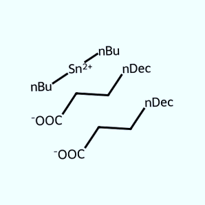 CCCCCCCCCCCCC(=O)[O-].CCCCCCCCCCCCC(=O)[O-].CCC[CH2][Sn+2][CH2]CCC